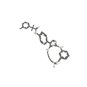 Cc1cccc(C(C)(C)C(=O)Nc2ccc(-c3cnc4nc3NCCCNSc3cccc(c3)N4)cc2)c1